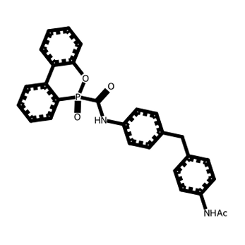 CC(=O)Nc1ccc(Cc2ccc(NC(=O)P3(=O)Oc4ccccc4-c4ccccc43)cc2)cc1